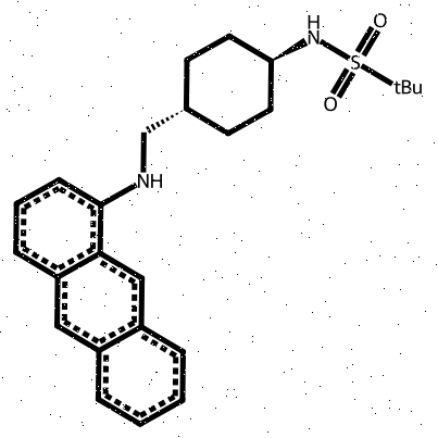 CC(C)(C)S(=O)(=O)N[C@H]1CC[C@H](CNc2cccc3cc4ccccc4cc23)CC1